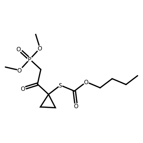 CCCCOC(=O)SC1(C(=O)CP(=O)(OC)OC)CC1